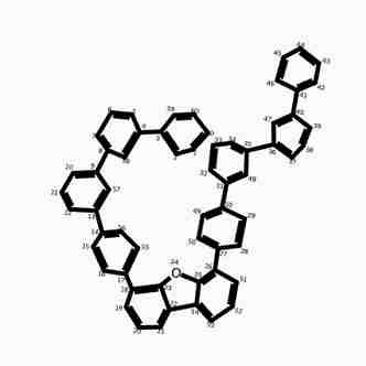 c1ccc(-c2cccc(-c3cccc(-c4ccc(-c5cccc6c5oc5c(-c7ccc(-c8cccc(-c9cccc(-c%10ccccc%10)c9)c8)cc7)cccc56)cc4)c3)c2)cc1